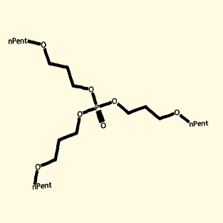 CCCCCOCCCOP(=O)(OCCCOCCCCC)OCCCOCCCCC